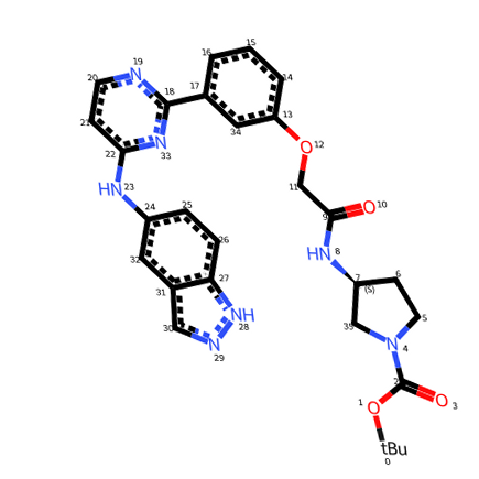 CC(C)(C)OC(=O)N1CC[C@H](NC(=O)COc2cccc(-c3nccc(Nc4ccc5[nH]ncc5c4)n3)c2)C1